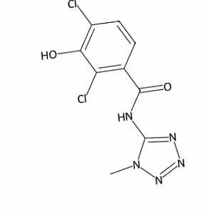 Cn1nnnc1NC(=O)c1ccc(Cl)c(O)c1Cl